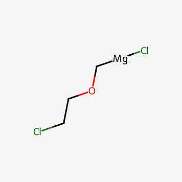 ClCCO[CH2][Mg][Cl]